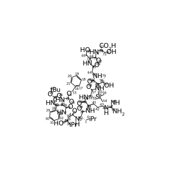 CC(C)C[C@H](NC(=O)[C@@H](NC(=O)[C@@H](NC(=O)OCc1ccccc1)[C@H](NC(=O)OC(C)(C)C)c1ccccc1)[C@H](O)C(C)C)C(=O)N[C@H](CCCNC(=N)N)C(=O)N[C@@H](C[Si](C)(C)C)C(=O)N[C@H](C(=O)NCC(=O)N[C@@H](CO)C(=O)N[C@@H](CO)C(=O)O)[C@H](C)O